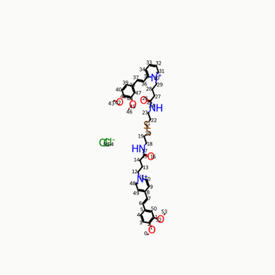 COc1ccc(/C=C/c2cc[n+](CCCC(=O)NCCSSCCNC(=O)CCC[n+]3ccccc3/C=C/c3ccc(OC)c(OC)c3)cc2)cc1OC.[Cl-].[Cl-]